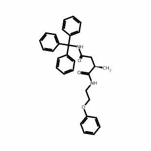 C[C@H](CC(=O)NC(c1ccccc1)(c1ccccc1)c1ccccc1)C(=O)NCCOc1ccccc1